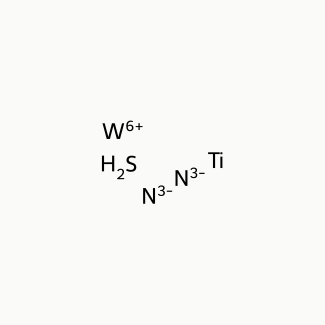 S.[N-3].[N-3].[Ti].[W+6]